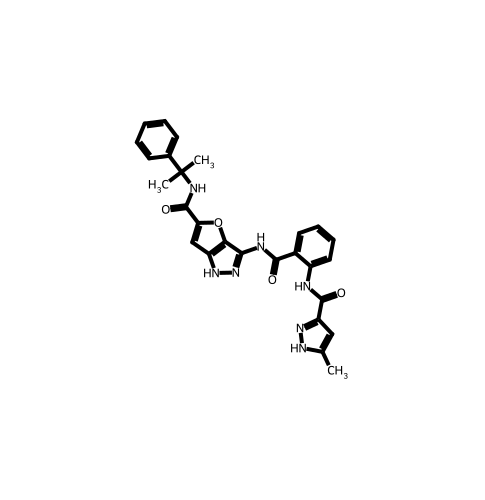 Cc1cc(C(=O)Nc2ccccc2C(=O)Nc2n[nH]c3cc(C(=O)NC(C)(C)c4ccccc4)oc23)n[nH]1